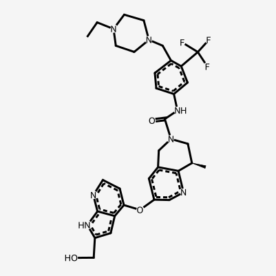 CCN1CCN(Cc2ccc(NC(=O)N3Cc4cc(Oc5ccnc6[nH]c(CO)cc56)cnc4[C@H](C)C3)cc2C(F)(F)F)CC1